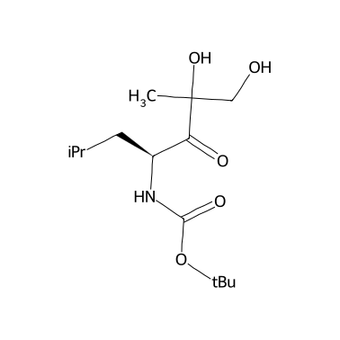 CC(C)C[C@H](NC(=O)OC(C)(C)C)C(=O)C(C)(O)CO